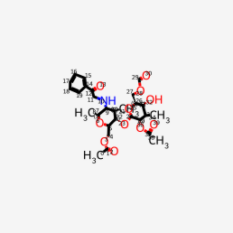 CC(=O)OCC1O[C@@H](C)C(NCC(=O)c2ccccc2)[C@@H](C)[C@@H]1OC1O[C@@H](COC=O)[C@@H](O)C(C)[C@@H]1OC(C)=O